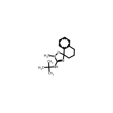 CC(C)(C)NC1=NC2(CCCc3ccccc32)ON1N